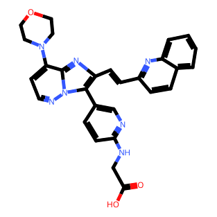 O=C(O)CNc1ccc(-c2c(C=Cc3ccc4ccccc4n3)nc3c(N4CCOCC4)ccnn23)cn1